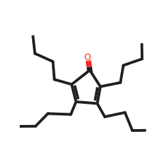 CCCCC1=C(CCCC)C(CCCC)=C(CCCC)C1=O